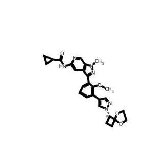 COc1c(-c2cnn([C@H]3CCC34OCCO4)c2)cccc1-c1nn(C)c2cnc(NC(=O)C3CC3)cc12